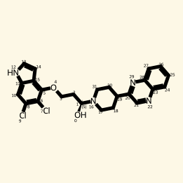 O[C@@H](CCOc1c(Cl)c(Cl)cc2[nH]ccc12)N1CCC(c2cnc3ccccc3n2)CC1